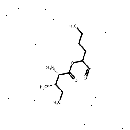 CCCCC([C]=O)OC(=O)[C@@H](N)[C@@H](C)CC